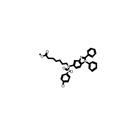 COC(=O)CCCCCCN(c1ccc2c(c1)nc(-c1ccccc1)n2-c1ccccc1)S(=O)(=O)c1ccc(Cl)cc1